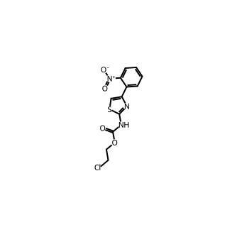 O=C(Nc1nc(-c2ccccc2[N+](=O)[O-])cs1)OCCCl